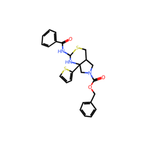 O=C(NC1NC2(c3cccs3)CN(C(=O)OCc3ccccc3)CC2CS1)c1ccccc1